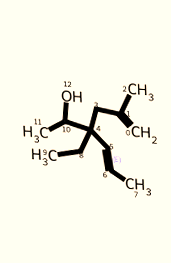 C=C(C)CC(/C=C/C)(CC)C(C)O